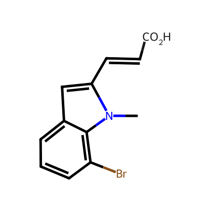 Cn1c(C=CC(=O)O)cc2cccc(Br)c21